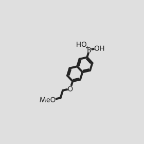 COCCOc1ccc2cc(B(O)O)ccc2c1